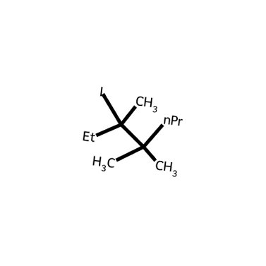 [CH2]CC(C)(I)C(C)(C)CCC